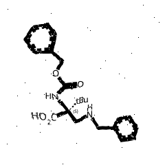 CC(C)(C)[C@@](CNCc1ccccc1)(NC(=O)OCc1ccccc1)C(=O)O